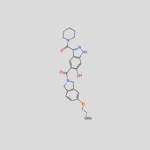 COCCOc1ccc2c(c1)CN(C(=O)c1cc3c(C(=O)N4CCCCC4)n[nH]c3cc1O)C2